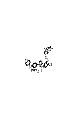 COc1ccc(Nc2nccc(-c3ccc(OC4CCOCC4)c(N)c3)n2)cc1OCCCN1CCN(C(=O)OC(C)(C)C)CC1